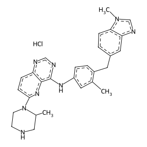 Cc1cc(Nc2ncnc3ccc(N4CCNCC4C)nc23)ccc1Cc1ccc2c(c1)ncn2C.Cl